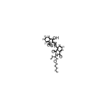 CCCCCOCC(CC)N1C(=O)c2cccc(N=NC3=C(O)c4ccccc4S3(=O)=O)c2C1=O